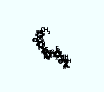 CN1CCN(C(=O)c2ccc(-c3cc4nccc(Oc5ccc(NC(=O)NC6CC6)cc5F)c4s3)nc2)CC1